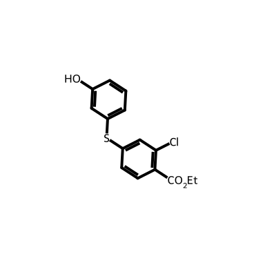 CCOC(=O)c1ccc(Sc2cccc(O)c2)cc1Cl